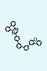 c1cc(-c2ccc(-c3cnc4c5ccccc5c5ccccc5c4n3)cc2)cc(-c2cccc(-c3ccc4oc5ccccc5c4c3)c2)c1